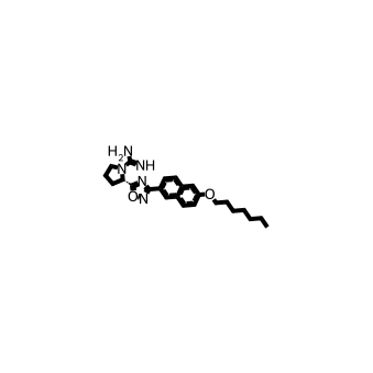 CCCCCCCOc1ccc2cc(-c3noc([C@@H]4CCCN4C(=N)N)n3)ccc2c1